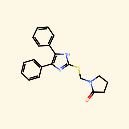 O=C1CCCN1CSc1nc(-c2ccccc2)c(-c2ccccc2)[nH]1